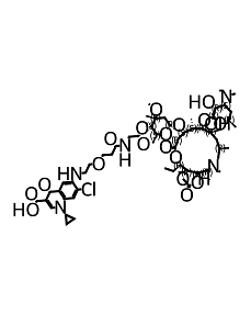 CC[C@H]1OC(=O)[C@H](C)[C@@H](O[C@H]2C[C@@](C)(OC)[C@@H](OC(=O)CNC(=O)CCOCCNc3cc4c(=O)c(C(=O)O)cn(C5CC5)c4cc3Cl)[C@H](C)O2)[C@H](C)[C@@H](O[C@@H]2O[C@H](C)C[C@H](N(C)C)[C@H]2O)[C@](C)(O)C[C@@H](C)CN(C)[C@H](C)[C@H]2OC(=O)O[C@@]21C